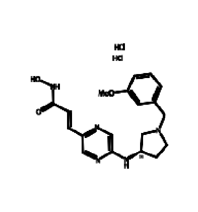 COc1cccc(CN2CC[C@@H](Nc3cnc(C=CC(=O)NO)cn3)C2)c1.Cl.Cl